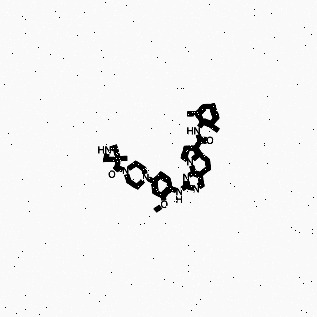 COc1cc(N2CCN(C(=O)C3(C)CNC3)CC2)ccc1Nc1ncc2c(n1)-n1ccc(C(=O)Nc3c(C)cccc3C)c1CC2